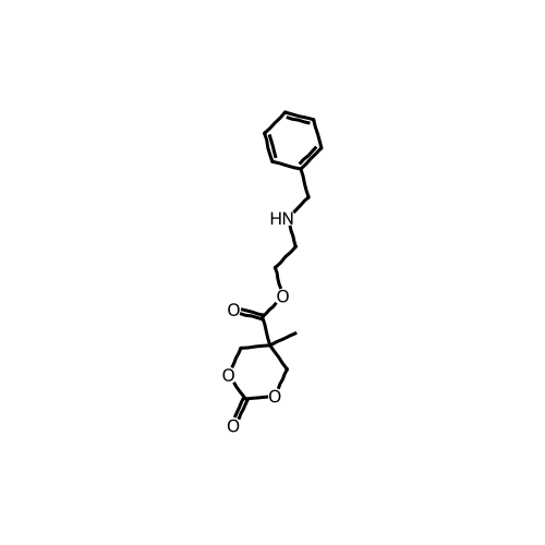 CC1(C(=O)OCCNCc2ccccc2)COC(=O)OC1